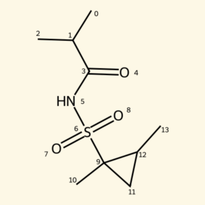 CC(C)C(=O)NS(=O)(=O)C1(C)CC1C